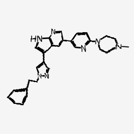 CN1CCN(c2ccc(-c3cnc4[nH]cc(-c5cnn(CCc6ccccc6)c5)c4c3)cn2)CC1